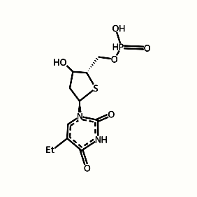 CCc1cn([C@H]2CC(O)[C@H](CO[PH](=O)O)S2)c(=O)[nH]c1=O